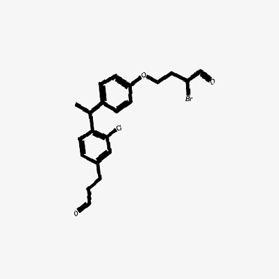 CC(c1ccc(OCCC(Br)C=O)cc1)c1ccc(CCC=O)cc1Cl